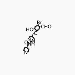 O=Cc1cc(OCc2cnc(NC(=O)c3ccncc3)nc2)c(O)cc1Br